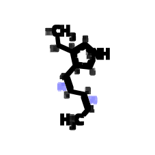 C/C=C\C=C/c1c[nH]cc1CC